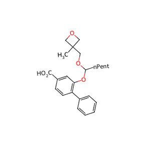 CCCCCC(OCC1(C)COC1)Oc1cc(C(=O)O)ccc1-c1ccccc1